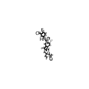 Cc1c2c(nn1CC(CF)ON(C)C=O)C[C@@H](C)N(C(=O)Nc1ccc(F)c(Cl)c1)C2